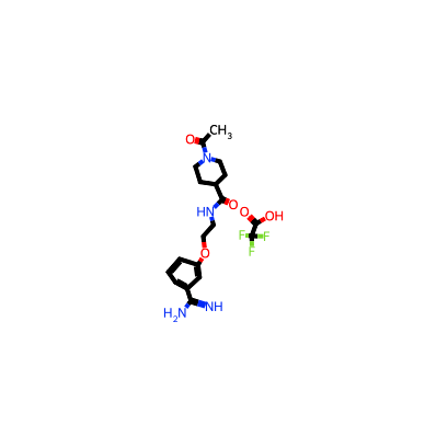 CC(=O)N1CCC(C(=O)NCCOc2cccc(C(=N)N)c2)CC1.O=C(O)C(F)(F)F